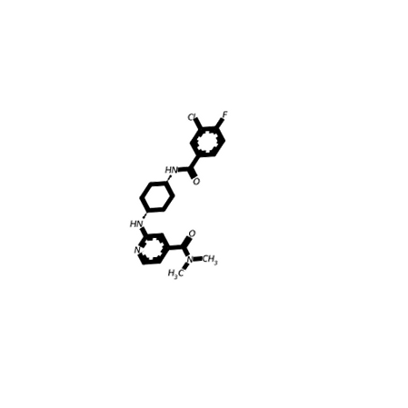 CN(C)C(=O)c1ccnc(N[C@H]2CC[C@@H](NC(=O)c3ccc(F)c(Cl)c3)CC2)c1